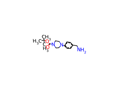 CC(C)(C)OC(=O)N1CCN(c2ccc(CN)cc2)CC1